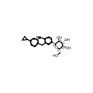 N#Cc1ccc([C@@H]2O[C@@H](CO)[C@H](O)[C@@H](O)[C@@H]2O)cc1Cc1ccc(C2CC2)cc1